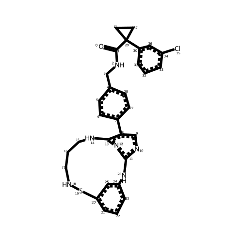 O=C(NCc1ccc(-c2cnc3nc2NCCCNSc2cccc(c2)N3)cc1)C1(c2cccc(Cl)c2)CC1